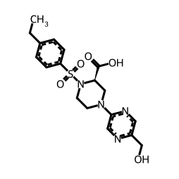 CCc1ccc(S(=O)(=O)N2CCN(c3cnc(CO)cn3)C[C@@H]2C(=O)O)cc1